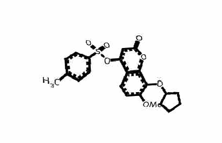 COc1ccc2c(OS(=O)(=O)c3ccc(C)cc3)cc(=O)oc2c1OC1CCCC1